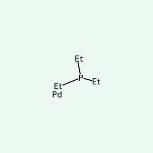 CCP(CC)CC.[Pd]